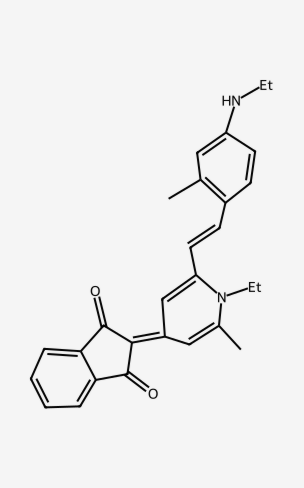 CCNc1ccc(C=CC2=CC(=C3C(=O)c4ccccc4C3=O)C=C(C)N2CC)c(C)c1